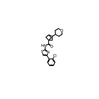 O=C(Nc1nc(-c2ccccc2Cl)cs1)C12CC(C1)C(C1CCOCC1)C2